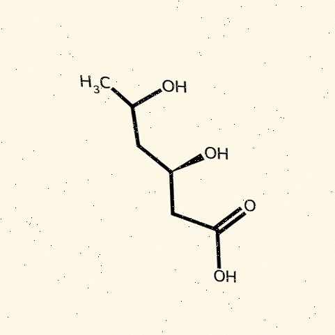 CC(O)C[C@@H](O)CC(=O)O